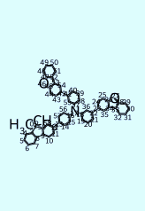 CC1(C)c2ccccc2-c2ccc(-c3ccc(N(c4cccc(-c5ccc6oc7ccccc7c6c5)c4)c4cccc(-c5ccc6oc7ccccc7c6c5)c4)cc3)cc21